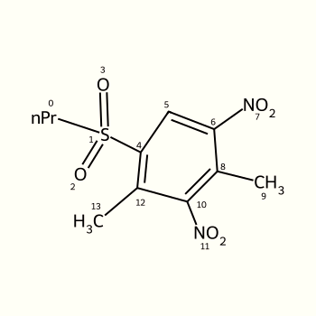 CCCS(=O)(=O)c1cc([N+](=O)[O-])c(C)c([N+](=O)[O-])c1C